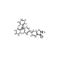 CN1Cc2cc(-c3ccc(N(c4ccccc4)c4ccccc4)cc3)ccc2C1=O